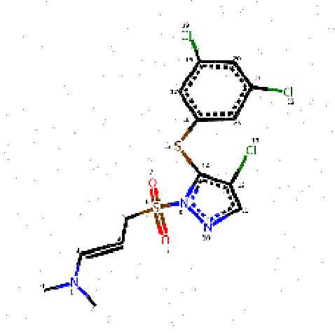 CN(C)C=CCS(=O)(=O)n1ncc(Cl)c1Sc1cc(Cl)cc(Cl)c1